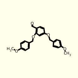 COc1ccc(COc2ccc(C=O)c(OCc3ccc(OC)cc3)c2)cc1